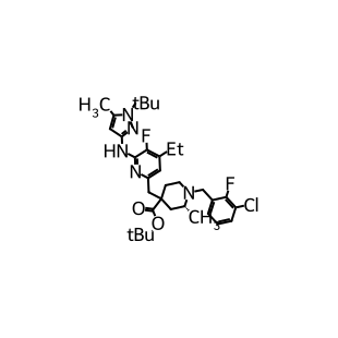 CCc1cc(CC2(C(=O)OC(C)(C)C)CCN(Cc3cccc(Cl)c3F)[C@H](C)C2)nc(Nc2cc(C)n(C(C)(C)C)n2)c1F